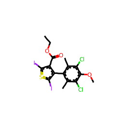 CCOC(=O)c1c(I)sc(I)c1-c1c(C)c(Cl)c(OC)c(Cl)c1C